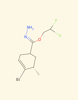 CCC1=CCC(/C(=N/N)OCC(F)F)C[C@@H]1C